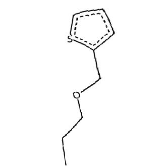 CCCOCc1cccs1